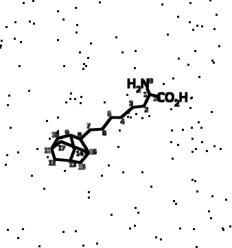 NC(CCCCCCC1C2CC3CC(C2)CC1C3)C(=O)O